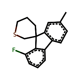 Cc1ccc2c(c1)C1(CCCSC1)c1c(F)cccc1-2